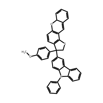 COc1ccc(C2(c3ccc4c(c3)c3ccccc3n4-c3ccccc3)CSc3c2ccc2c3C=C3C=CC=CC3O2)cc1